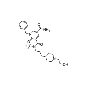 CN(CCCC1CCN(CCO)CC1)C(=O)c1cc(C(N)=O)cn(Cc2ccccc2)c1=O